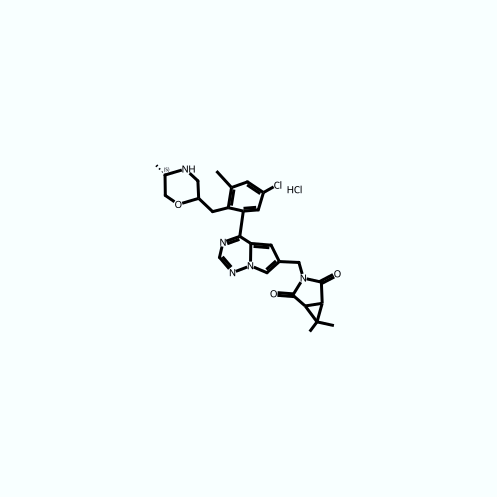 Cc1cc(Cl)cc(-c2ncnn3cc(CN4C(=O)C5C(C4=O)C5(C)C)cc23)c1CC1CN[C@@H](C)CO1.Cl